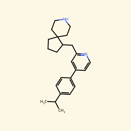 CC(C)c1ccc(-c2ccnc(CC3CCCC34CCNCC4)c2)cc1